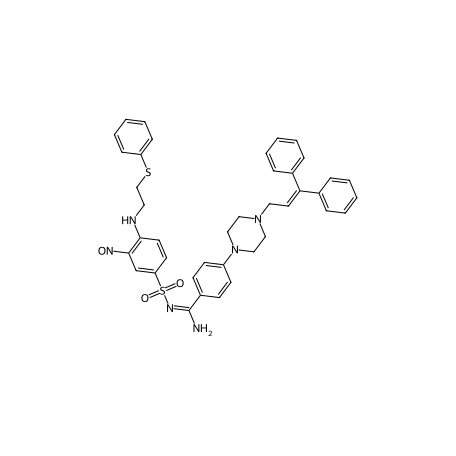 N/C(=N/S(=O)(=O)c1ccc(NCCSc2ccccc2)c(N=O)c1)c1ccc(N2CCN(CC=C(c3ccccc3)c3ccccc3)CC2)cc1